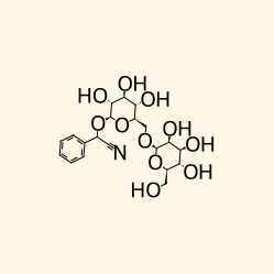 N#CC(O[C@@H]1O[C@H](CO[C@@H]2O[C@H](CO)[C@@H](O)[C@H](O)[C@@H]2O)[C@@H](O)[C@H](O)[C@H]1O)c1ccccc1